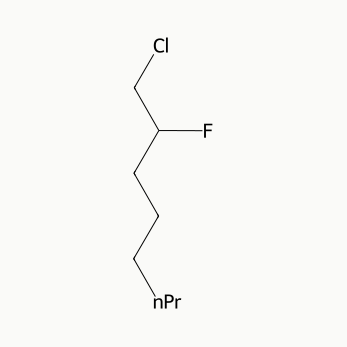 CCCCCCC(F)CCl